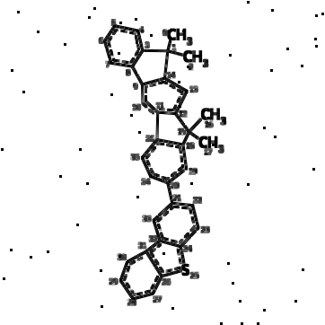 CC1(C)c2ccccc2-c2cc3c(cc21)C(C)(C)c1cc(-c2ccc4sc5ccccc5c4c2)ccc1-3